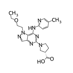 CCOCCn1ncc2nc(N3CC[C@H](C(=O)O)C3)nc(Nc3ccc(C)cn3)c21